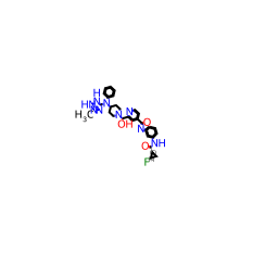 CN1N=C(N(c2ccccc2)C2CCN(C(O)c3cc(-c4nc5cc(NC(=O)[C@@H]6C[C@@H]6F)ccc5o4)ccn3)CC2)NN1